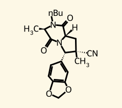 CCCCN1C(=O)[C@@H]2C[C@](C)(C#N)[C@H](c3ccc4c(c3)OCO4)N2C(=O)[C@H]1C